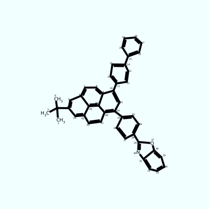 CC(C)(C)c1cc2ccc3c(-c4ccc(-c5ccccc5)cc4)cc(-c4ccc(-c5nc6ccccc6o5)cc4)c4ccc(c1)c2c34